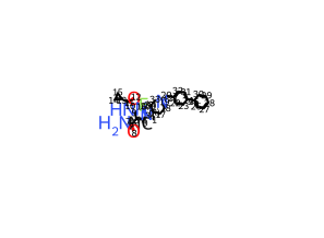 N#CC[C@]1(n2cc(C(N)=O)c(NC(=O)C3CC3)n2)CCN(Cc2ccc(-c3ccccc3)cc2)C[C@@H]1F